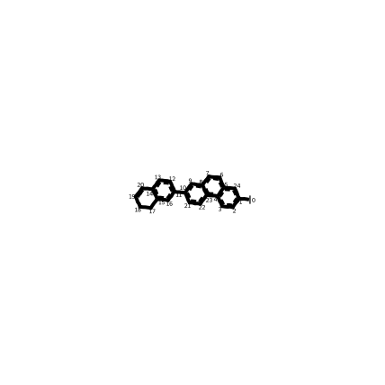 Ic1ccc2c(ccc3cc(-c4ccc5c(c4)CCC=C5)ccc32)c1